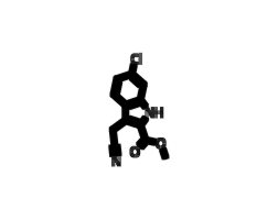 COC(=O)c1[nH]c2cc(Cl)ccc2c1CC#N